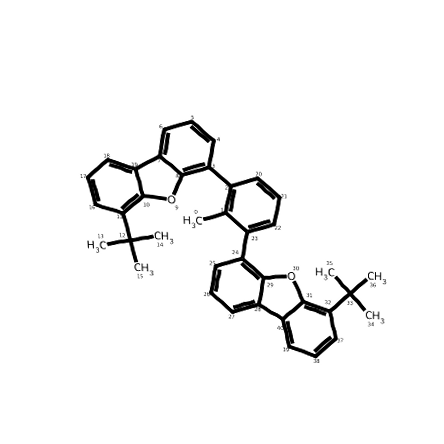 Cc1c(-c2cccc3c2oc2c(C(C)(C)C)cccc23)cccc1-c1cccc2c1oc1c(C(C)(C)C)cccc12